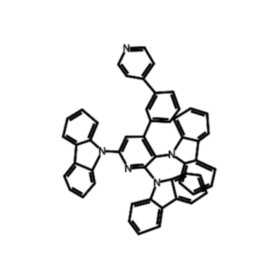 c1cc(-c2ccncc2)cc(-c2cc(-n3c4ccccc4c4ccccc43)nc(-n3c4ccccc4c4ccccc43)c2-n2c3ccccc3c3ccccc32)c1